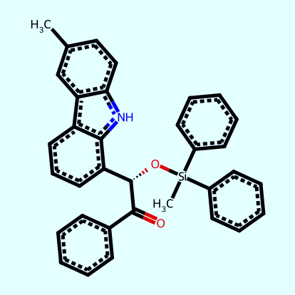 Cc1ccc2[nH]c3c([C@H](O[Si](C)(c4ccccc4)c4ccccc4)C(=O)c4ccccc4)cccc3c2c1